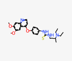 CCN(CC)C(C)CNC(=S)Nc1ccc(Oc2ccnc3cc(OC)c(OC)cc23)cc1